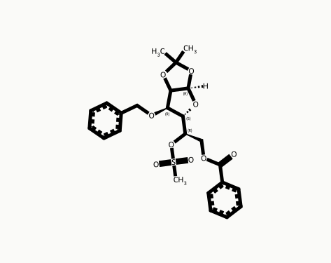 CC1(C)OC2[C@H](O[C@H]([C@@H](COC(=O)c3ccccc3)OS(C)(=O)=O)[C@H]2OCc2ccccc2)O1